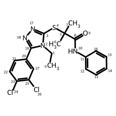 CCn1c(SC(C)(C)C(=O)Nc2ccccc2)nnc1-c1ccc(Cl)c(Cl)c1